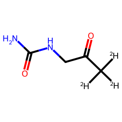 [2H]C([2H])([2H])C(=O)CNC(N)=O